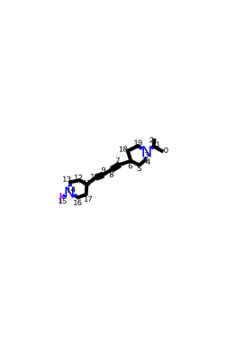 CC(C)N1CCC(C#CC#CC2CCN(I)CC2)CC1